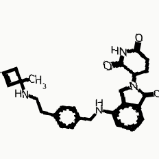 CC1(NCCc2ccc(CNc3cccc4c3CN(C3CCC(=O)NC3=O)C4=O)cc2)C=CC1